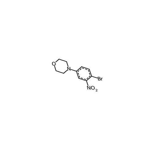 O=[N+]([O-])c1cc(N2CCOCC2)ccc1Br